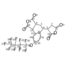 O=C1CC(C2CC3C(=O)OC(=O)C3c3cc(OC(F)(F)C(F)(F)C(F)(F)C(F)(F)F)ccc32)C(=O)O1